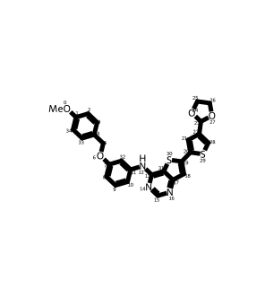 COc1ccc(COc2cccc(Nc3ncnc4cc(-c5cc(C6OCCO6)cs5)sc34)c2)cc1